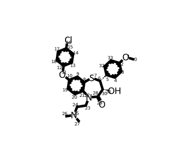 COc1ccc([C@H]2Sc3cc(Oc4ccc(Cl)cc4)ccc3N(CCN(C)C)C(=O)[C@H]2O)cc1